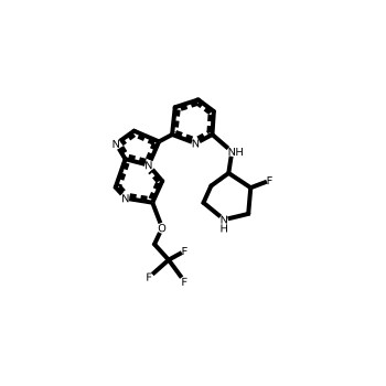 FC1CNCCC1Nc1cccc(-c2cnc3cnc(OCC(F)(F)F)cn23)n1